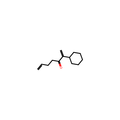 C=CCCC(=O)C(=C)C1CCCCC1